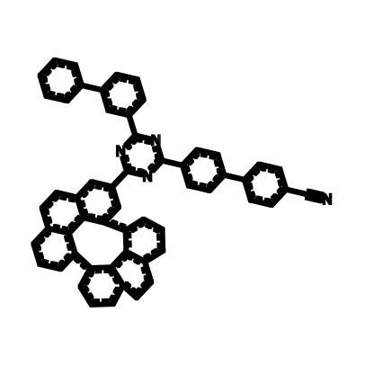 N#Cc1ccc(-c2ccc(-c3nc(-c4cccc(-c5ccccc5)c4)nc(-c4cc5ccc6cccc7c8cccc9ccc%10cccc(c(c4)c5c67)c%10c98)n3)cc2)cc1